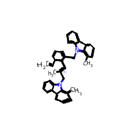 C=Cc1cccc(Cn2c3ccccc3c3cccc(C)c32)c1/C=C(\C)Cn1c2ccccc2c2cccc(C)c21